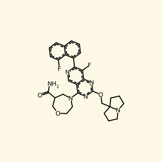 NC(=O)C1COCCN(c2nc(OCC34CCCN3CCC4)nc3c(F)c(-c4cccc5cccc(F)c45)ncc23)C1